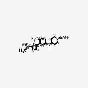 CSN1CCC(Nc2ncc(C(F)(F)F)c(-c3cnc(N(C)C(C)C)s3)n2)CC1